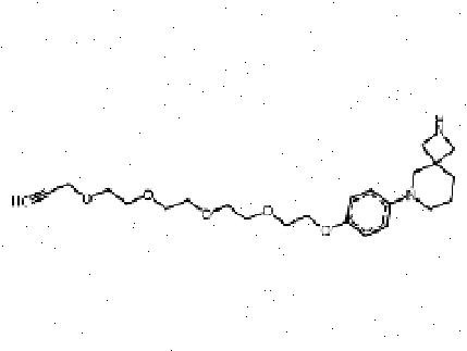 C#CCOCCOCCOCCOCCOc1ccc(N2CCCC3(CNC3)C2)cc1